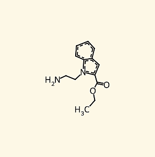 CCOC(=O)c1cc2ccccc2n1CCN